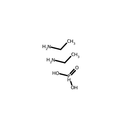 CCN.CCN.O=[PH](O)O